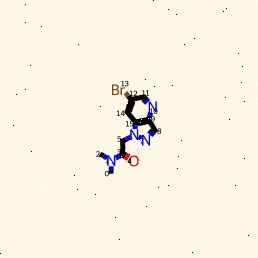 CN(C)C(=O)Cn1ncc2ncc(Br)cc21